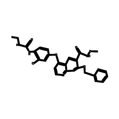 CCNC(=O)Nc1ccc(Oc2ccnc3cc(OCc4ccccc4)c(C(=O)NOC)cc23)cc1Cl